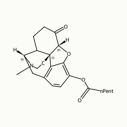 CCCCCC(=O)Oc1ccc2c3c1O[C@H]1C(=O)CCC4[C@@H](C2)N(C)CC[C@@]341